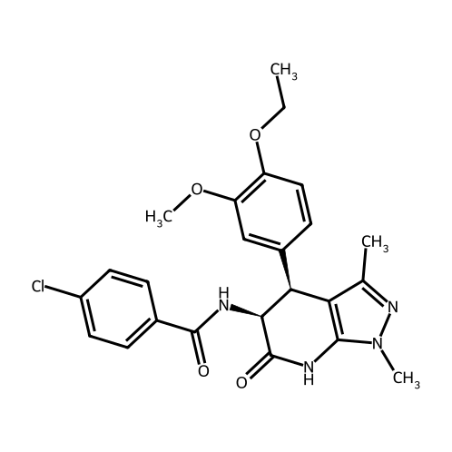 CCOc1ccc([C@H]2c3c(C)nn(C)c3NC(=O)[C@H]2NC(=O)c2ccc(Cl)cc2)cc1OC